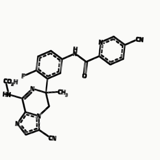 CC1(c2cc(NC(=O)c3ccc(C#N)cn3)ccc2F)Cn2c(C#N)cnc2C(NC(=O)O)=N1